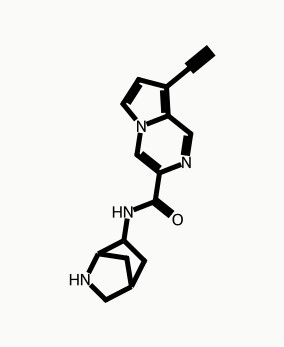 C#Cc1ccn2cc(C(=O)NC3CC4CNC3C4)ncc12